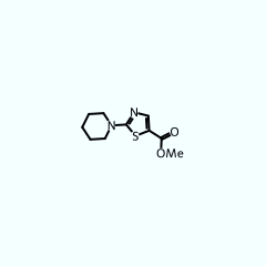 COC(=O)c1cnc(N2CCCCC2)s1